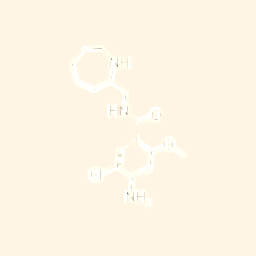 COc1cc(N)c(Cl)cc1C(=O)NCC1CCCCCN1